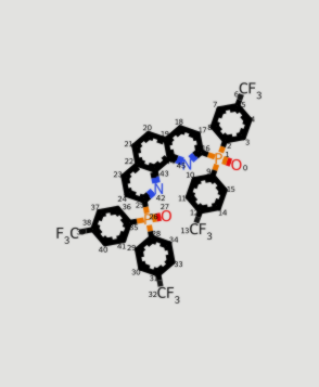 O=P(c1ccc(C(F)(F)F)cc1)(c1ccc(C(F)(F)F)cc1)c1ccc2ccc3ccc(P(=O)(c4ccc(C(F)(F)F)cc4)c4ccc(C(F)(F)F)cc4)nc3c2n1